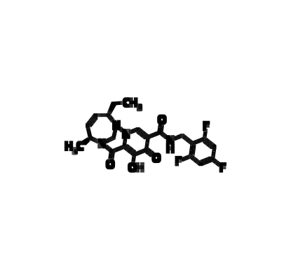 CC[C@@H]1C=C[C@H](C)N2CN1n1cc(C(=O)NCc3c(F)cc(F)cc3F)c(=O)c(O)c1C2=O